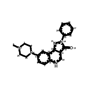 CN1CCN(c2ccc3[nH]cc4c(=O)n(-c5ccccc5)nc-4c3c2)CC1